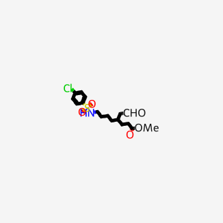 COC(=O)CCC(CC=O)CCCCNS(=O)(=O)c1ccc(Cl)cc1